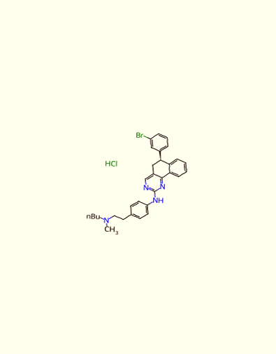 CCCCN(C)CCc1ccc(Nc2ncc3c(n2)-c2ccccc2[C@H](c2cccc(Br)c2)C3)cc1.Cl